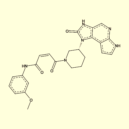 COc1cccc(NC(=O)/C=C\C(=O)N2CCC[C@@H](n3c(=O)[nH]c4cnc5[nH]ccc5c43)C2)c1